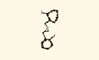 Ic1ccccc1CSCc1ccccc1I